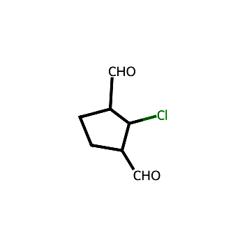 O=CC1CCC(C=O)C1Cl